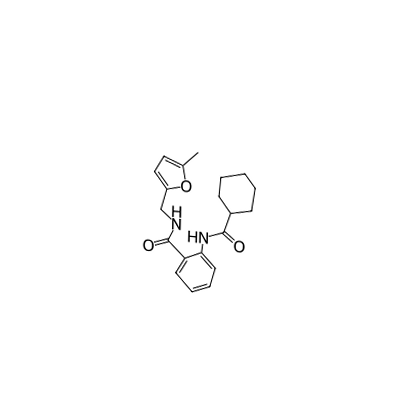 Cc1ccc(CNC(=O)c2ccccc2NC(=O)C2CCCCC2)o1